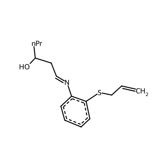 C=CCSc1ccccc1N=CCC(O)CCC